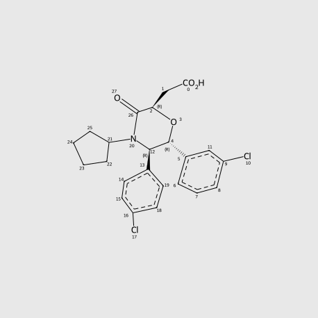 O=C(O)C[C@H]1O[C@H](c2cccc(Cl)c2)[C@@H](c2ccc(Cl)cc2)N(C2CCCC2)C1=O